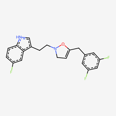 Fc1cc(F)cc(CC2=CCN(CCc3c[nH]c4ccc(F)cc34)O2)c1